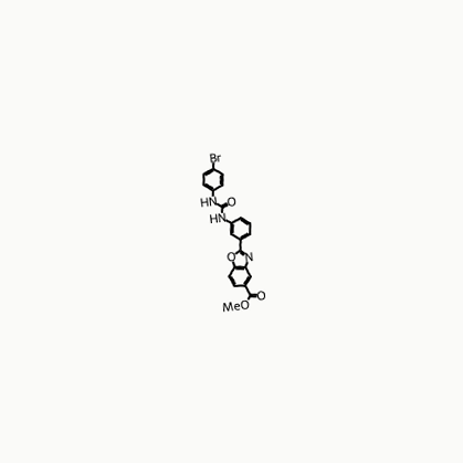 COC(=O)c1ccc2oc(-c3cccc(NC(=O)Nc4ccc(Br)cc4)c3)nc2c1